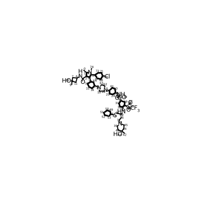 Cc1c(C(=O)NC2CC(C)(O)C2)c(-c2cccc(N3CCN(c4ccc(NS(=O)(=O)c5ccc(N[C@H](CCN6CCC(C)(O)CC6)CSc6ccccc6)c(S(=O)(=O)C(F)(F)F)c5)cc4)CC3)c2)c(-c2ccc(Cl)cc2)n1C